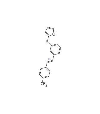 FC(F)(F)c1ccc(/C=C/c2cccc(Sc3ccco3)c2)cc1